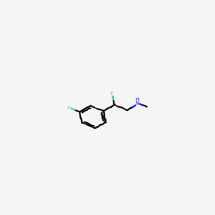 CNCC(F)c1cccc(F)c1